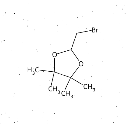 CC1(C)OC(CBr)OC1(C)C